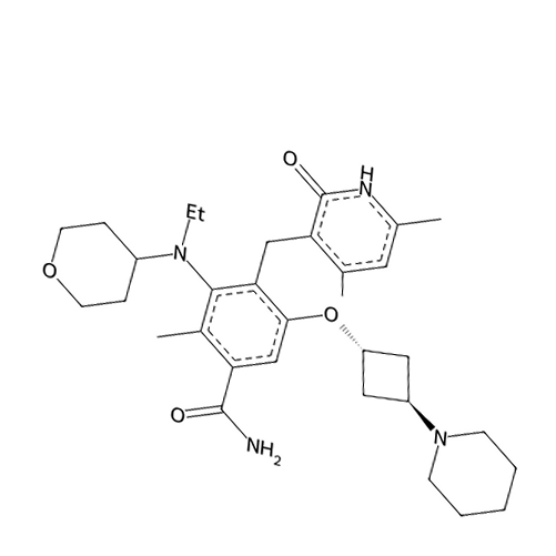 CCN(c1c(C)c(C(N)=O)cc(O[C@H]2C[C@H](N3CCCCC3)C2)c1Cc1c(C)cc(C)[nH]c1=O)C1CCOCC1